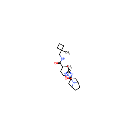 Cc1noc(N2C3CCC2CC(N2CCC(C(=O)NCC4(C)CCC4)CC2)C3)n1